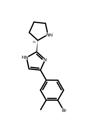 Cc1cc(-c2c[nH]c([C@@H]3CCCN3)n2)ccc1Br